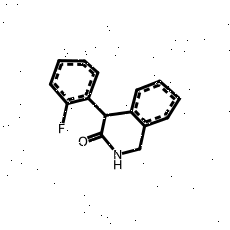 O=C1NCc2ccccc2C1c1ccccc1F